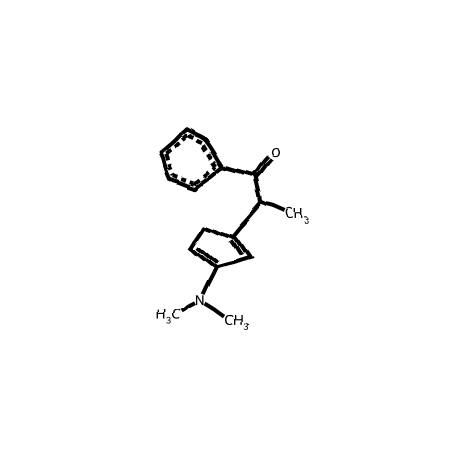 CC(C(=O)c1ccccc1)C1=CC(N(C)C)=CC1